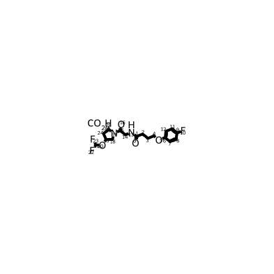 O=C(CCCOc1ccc(F)cc1)NCC(=O)N1CC(OC(F)F)C[C@@H]1C(=O)O